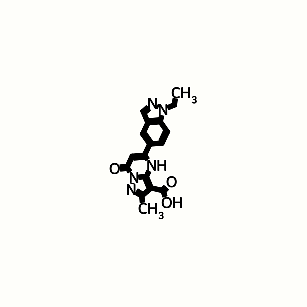 CCn1ncc2cc(-c3cc(=O)n4nc(C)c(C(=O)O)c4[nH]3)ccc21